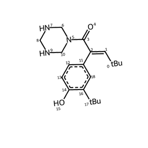 CC(C)(C)C=C(C(=O)N1CNCNC1)c1ccc(O)c(C(C)(C)C)c1